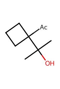 CC(=O)C1(C(C)(C)O)CCC1